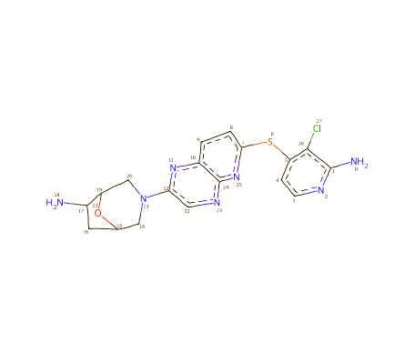 Nc1nccc(Sc2ccc3nc(N4CC5CC(N)C(C4)O5)cnc3n2)c1Cl